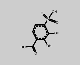 O=C(O)c1ccc(S(=O)(=O)O)c(O)c1O